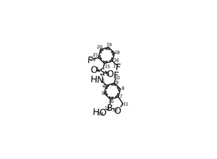 O=S(=O)(Nc1cc2c(cc1F)COB2O)c1c(F)cccc1F